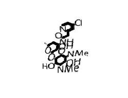 CN[C@@H]1[C@H](O)[C@H](NC)C2O[C@]3(O)C(OC2[C@H]1O)O[C@H](C)C[C@H]3NC(=O)Cc1cc(Cl)ccn1